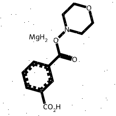 O=C(O)c1cccc(C(=O)ON2CCOCC2)c1.[MgH2]